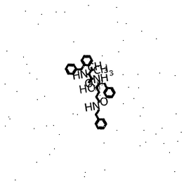 CC(C)C(NC(c1ccccc1)c1ccccc1)C(=O)N[C@@H](Cc1ccccc1)[C@@H](O)CCC(=O)NCCc1ccccc1